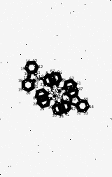 c1ccc([Si]2(c3cccc(-n4c5ccccc5c5ccccc54)c3)[Si](c3ccccc3)(c3ccccc3)[Si](c3ccccc3)(c3cccc4c3Cc3ccccc3-4)[Si]2(c2ccccc2)c2ccccc2)cc1